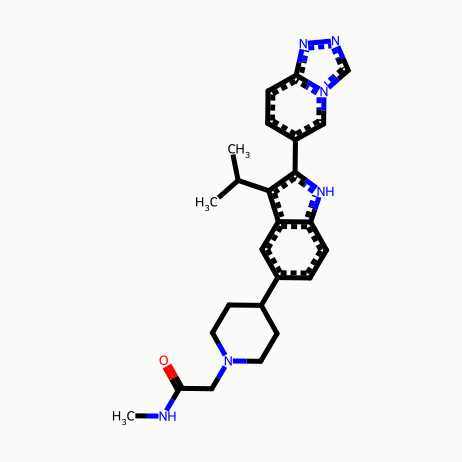 CNC(=O)CN1CCC(c2ccc3[nH]c(-c4ccc5nncn5c4)c(C(C)C)c3c2)CC1